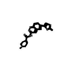 Cc1ncc(-c2ccc3nnc(NC(=O)C4CCN(C)CC4)cc3c2)o1